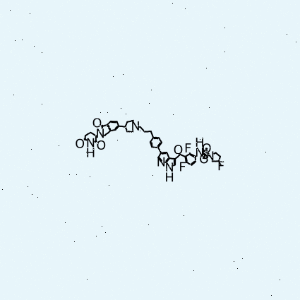 O=C1CCC(N2Cc3cc(C4CCN(CCCc5ccc(-c6cnc7[nH]cc(C(=O)c8c(F)ccc(NS(=O)(=O)N9CC[C@@H](F)C9)c8F)c7c6)cc5)CC4)ccc3C2=O)C(=O)N1